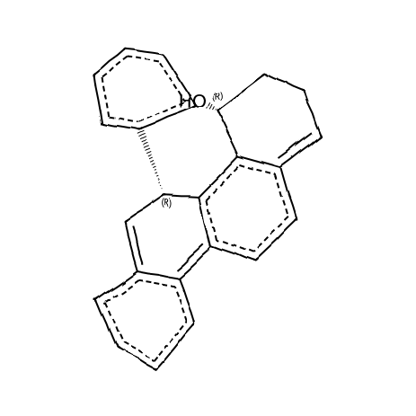 O[C@@H]1CCC=c2ccc3c(c21)[C@@H](c1ccccc1)C=c1ccccc1=3